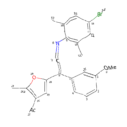 COc1cccc(C(=C=Nc2c(C)cc(Br)cc2C)c2cc(C(C)=O)c(C)o2)c1